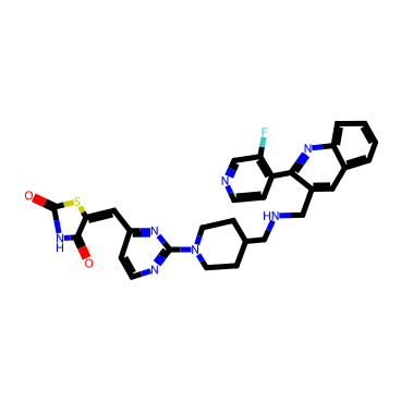 O=C1NC(=O)/C(=C\c2ccnc(N3CCC(CNCc4cc5ccccc5nc4-c4ccncc4F)CC3)n2)S1